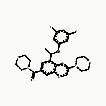 CC(Nc1cc(F)cc(F)c1)c1cc(C(=O)N2CCOCC2)cc2ncc(N3CCOCC3)nc12